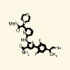 CNC(=O)C(c1cccc(Nc2sc(-c3c(F)cc(C(C)CO)cc3F)cc2C(N)=O)n1)N1CCOCC1